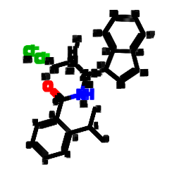 CC(C)c1ccccc1C(=O)[NH][Zr+2]([CH]1C=Cc2ccccc21)[SiH](C)C.[Cl-].[Cl-]